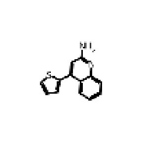 Nc1cc(-c2cccs2)c2ccccc2n1